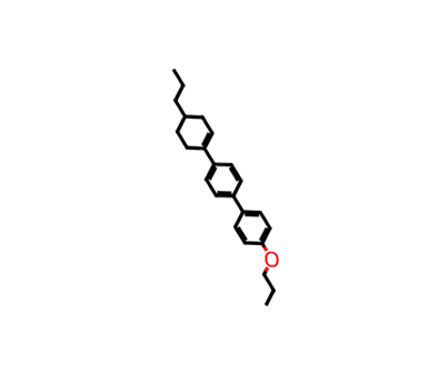 CCCOc1ccc(-c2ccc(C3=CCC(CCC)CC3)cc2)cc1